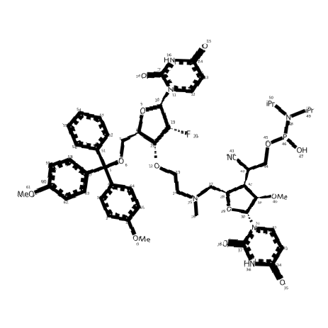 COc1ccc(C(OC[C@H]2O[C@@H](n3ccc(=O)[nH]c3=O)[C@H](F)[C@@H]2OCCN(C)C[C@@H]2O[C@@H](n3ccc(=O)[nH]c3=O)[C@H](OC)[C@@H]2C(C#N)COP(O)N(C(C)C)C(C)C)(c2ccccc2)c2ccc(OC)cc2)cc1